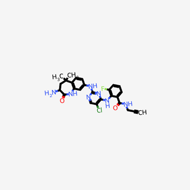 C#CCNC(=O)c1cccc(F)c1Nc1nc(Nc2ccc3c(c2)NC(=O)C(N)CC3(C)C)ncc1Cl